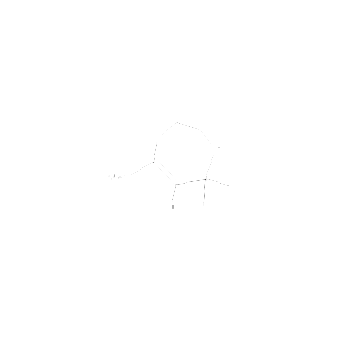 CSC1=C(C(C)C)C(F)(F)PCCO1